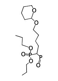 CCCOP(=O)(OCCC)C(CCCCOC1CCCCO1)P=O